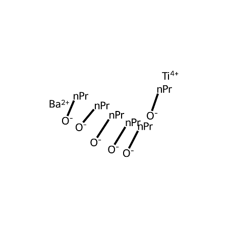 CCC[O-].CCC[O-].CCC[O-].CCC[O-].CCC[O-].CCC[O-].[Ba+2].[Ti+4]